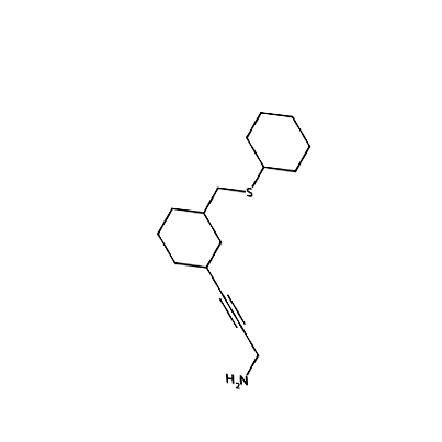 NCC#CC1CCCC(CSC2CCCCC2)C1